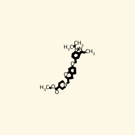 CCOC(=O)C1CCN(CC2=Cc3ccc(OCc4ccc5c(c4)c(CC)nn5C(C)C)cc3OC2)CC1